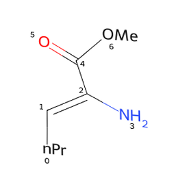 CCCC=C(N)C(=O)OC